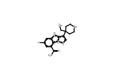 NC(=O)c1cc(F)cc2[nH]c3c(C4(CO)CCNCC4)cnn3c12